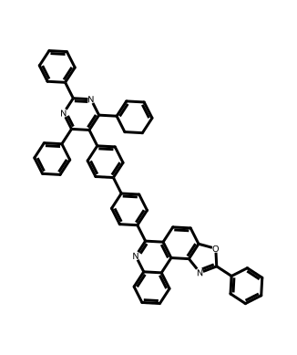 C1=CCCC(c2nc(-c3ccccc3)nc(-c3ccccc3)c2-c2ccc(-c3ccc(-c4nc5ccccc5c5c4ccc4oc(-c6ccccc6)nc45)cc3)cc2)=C1